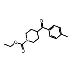 CCOC(=O)N1CCC(C(=O)c2ccc(C)cc2)CC1